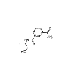 C[C@@H](CO)NC(=O)c1cccc(C(N)=O)c1